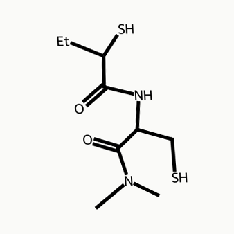 CCC(S)C(=O)NC(CS)C(=O)N(C)C